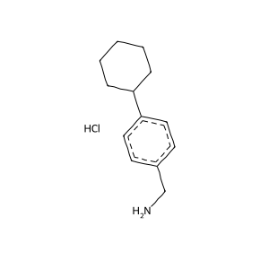 Cl.NCc1ccc(C2CCCCC2)cc1